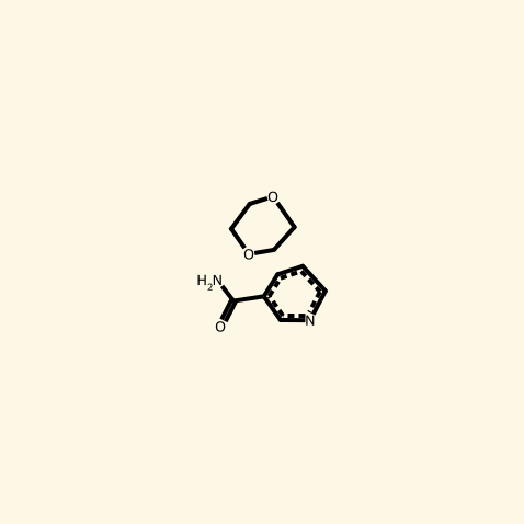 C1COCCO1.NC(=O)c1cccnc1